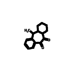 CC1c2ccccc2C(=O)C(=O)C2CCCCC21